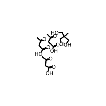 CC(=O)CC(=O)O.CC(=O)CC(=O)O.CC(=O)CC(=O)O.CC(CO)(CO)CO